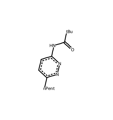 CCCCCc1ccc(NC(=O)C(C)(C)C)nn1